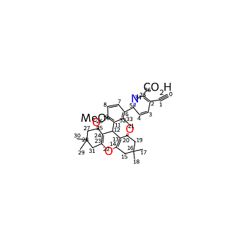 C#Cc1ccc(-c2ccc(OC)c(C3C4=C(CC(C)(C)CC4=O)OC4=C3C(=O)CC(C)(C)C4)c2C)nc1C(=O)O